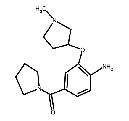 CN1CCC(Oc2cc(C(=O)N3CCCC3)ccc2N)C1